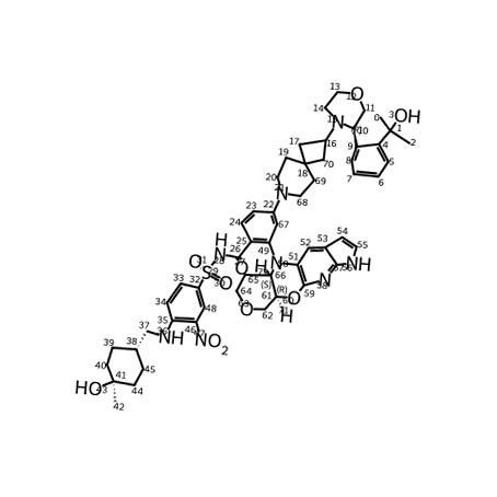 CC(C)(O)c1ccccc1[C@@H]1COCCN1C1CC2(CCN(c3ccc(C(=O)NS(=O)(=O)c4ccc(NC[C@H]5CC[C@](C)(O)CC5)c([N+](=O)[O-])c4)c(N4c5cc6cc[nH]c6nc5O[C@H]5COCC[C@@H]54)c3)CC2)C1